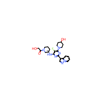 O=C(CO)N1CCC[C@@H](Nc2nc(-c3cnn4ccccc34)nc(N3CCC(O)CC3)c2F)C1